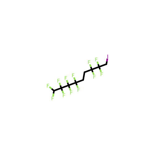 FC(F)C(F)(F)C(F)(F)C(F)(F)CCC(F)(F)C(F)(F)CI